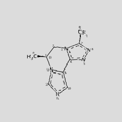 C[C@H]1Cn2c(nnc2C(F)(F)F)-c2cncn21